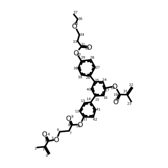 C=C(C)C(=O)OCCC(=O)Oc1ccc(-c2cc(OC(=O)C(=C)C)cc(-c3ccc(OC(=O)CCOCC)cc3)c2)cc1